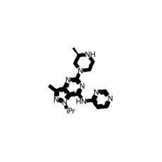 Cc1nn(C(C)C)c2c(Nc3ccncn3)nc(N3CCN[C@H](C)C3)nc12